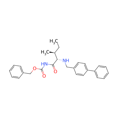 CC[C@H](C)[C@H](NCc1ccc(-c2ccccc2)cc1)C(=O)NC(=O)OCc1ccccc1